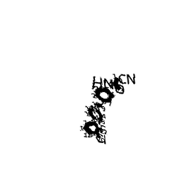 N#CCC(=O)N[C@H]1CC[C@H](CCN2CCN(c3cccc(Cl)c3F)CC2)CC1